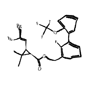 CC1(C)[C@H](C(=O)OCc2cccc(-c3ccccc3OC(F)(F)F)c2F)[C@@H]1C=C(Br)Br